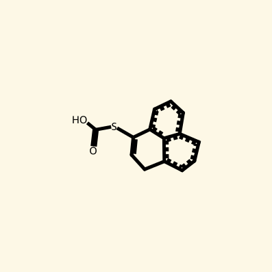 O=C(O)SC1=CCc2cccc3cccc1c23